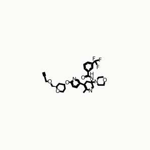 C#CCOC[C@H]1C[C@H](Oc2ccc(C3=C(C)N=CC(NC(=O)c4cccc(C(F)(F)F)c4)(N4CCOCC4)C3)cn2)CCO1